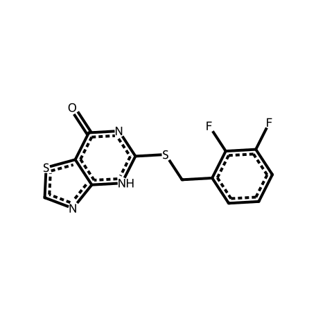 O=c1nc(SCc2cccc(F)c2F)[nH]c2ncsc12